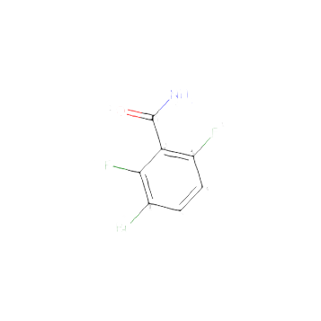 NC(=O)c1c(F)ccc(Br)c1F